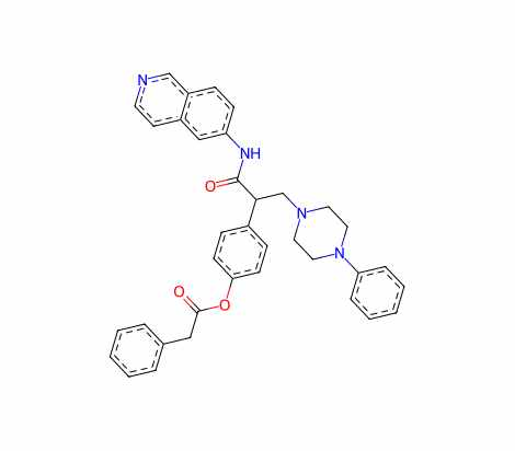 O=C(Cc1ccccc1)Oc1ccc(C(CN2CCN(c3ccccc3)CC2)C(=O)Nc2ccc3cnccc3c2)cc1